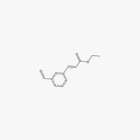 CCOC(=O)/C=C/c1cccc(C=O)c1